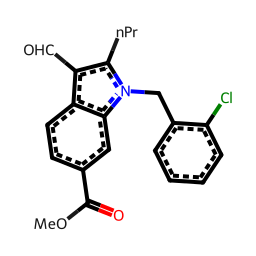 CCCc1c(C=O)c2ccc(C(=O)OC)cc2n1Cc1ccccc1Cl